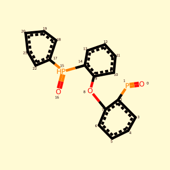 O=Pc1ccccc1Oc1ccccc1[PH](=O)c1ccccc1